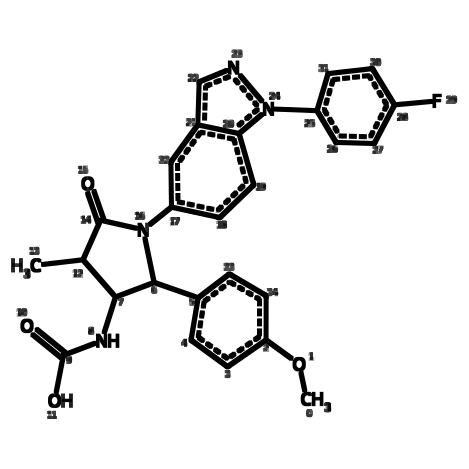 COc1ccc(C2C(NC(=O)O)C(C)C(=O)N2c2ccc3c(cnn3-c3ccc(F)cc3)c2)cc1